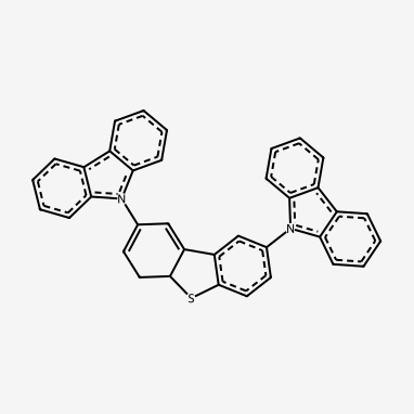 C1=C2c3cc(-n4c5ccccc5c5ccccc54)ccc3SC2CC=C1n1c2ccccc2c2ccccc21